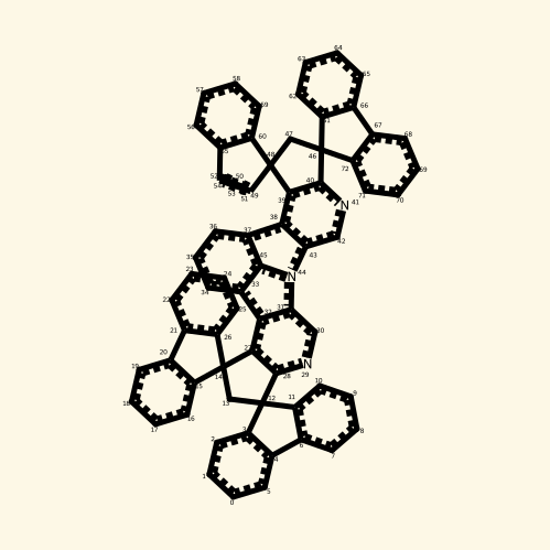 c1ccc2c(c1)-c1ccccc1C21CC2(c3ccccc3-c3ccccc32)c2c1ncc1c2c2cccc3c4c5c(ncc4n1c23)C1(CC52c3ccccc3-c3ccccc32)c2ccccc2-c2ccccc21